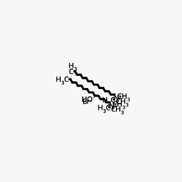 CCCCCCCCCCCCCCCC[N+](C)(C)C.CCCCCCCCCCCCCCCC[N+](C)(C)C.[Br-].[OH-]